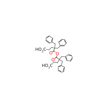 O=C(O)CCC(Cc1ccccc1)(Cc1ccccc1)C(=O)OC(=O)C(CCC(=O)O)(Cc1ccccc1)Cc1ccccc1